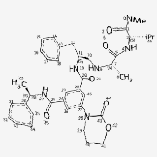 CNC(=O)[C@@H](NC(=O)[C@H](C)NC[C@H](Cc1ccccc1)NC(=O)c1cc(C(=O)N[C@H](C)c2ccccc2)cc(N2CCCOC2=O)c1)C(C)C